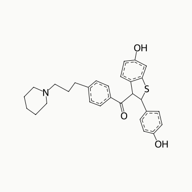 O=C(c1ccc(CCCN2CCCCC2)cc1)C1c2ccc(O)cc2SC1c1ccc(O)cc1